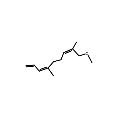 C=CC=C(C)CCC=C(C)COC